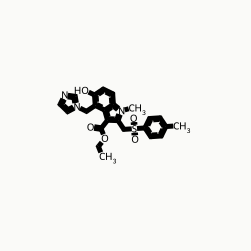 CCOC(=O)c1c(CS(=O)(=O)c2ccc(C)cc2)n(C)c2ccc(O)c(Cn3ccnc3)c12